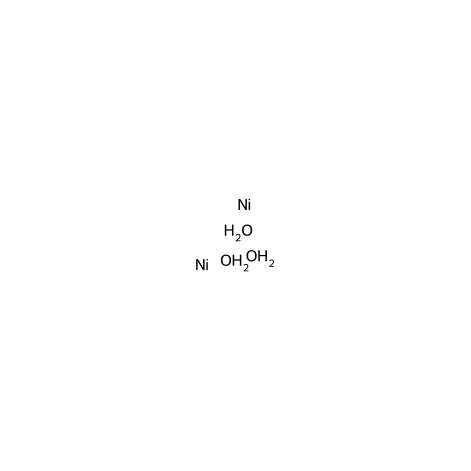 O.O.O.[Ni].[Ni]